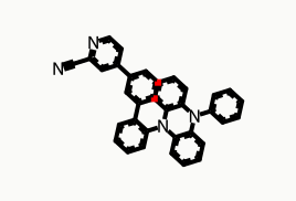 N#Cc1cc(-c2cccc(-c3ccccc3N3c4ccccc4N(c4ccccc4)c4ccccc43)c2)ccn1